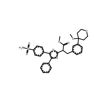 COC(=O)C(Cc1cccc(C2(OC)CCOCC2)c1)c1nc(-c2ccccc2)c(-c2ccc(S(N)(=O)=O)cc2)o1